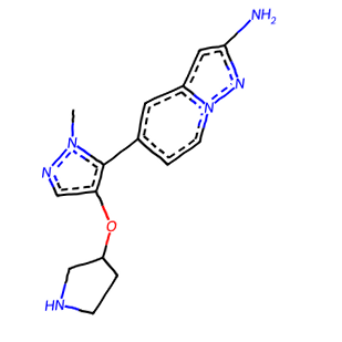 Cn1ncc(OC2CCNC2)c1-c1ccn2nc(N)cc2c1